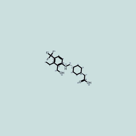 CCc1c(C(F)(F)F)ccc(NC[C@H]2CC[C@H](CC(=O)O)CC2)c1CO